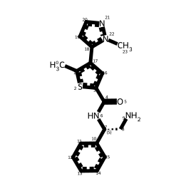 Cc1sc(C(=O)N[C@H](CN)c2ccccc2)cc1-c1ccnn1C